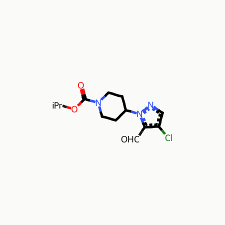 CC(C)OC(=O)N1CCC(n2ncc(Cl)c2C=O)CC1